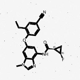 CCc1cc(C#N)ccc1Oc1cc(NC(=O)[C@H]2C[C@H]2F)c2ncn(C)c2c1